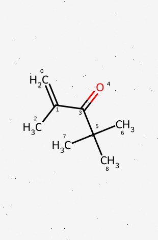 C=C(C)C(=O)C(C)(C)C